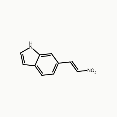 O=[N+]([O-])C=Cc1ccc2cc[nH]c2c1